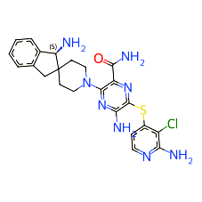 NC(=O)c1nc(Sc2ccnc(N)c2Cl)c(N)nc1N1CCC2(CC1)Cc1ccccc1[C@H]2N